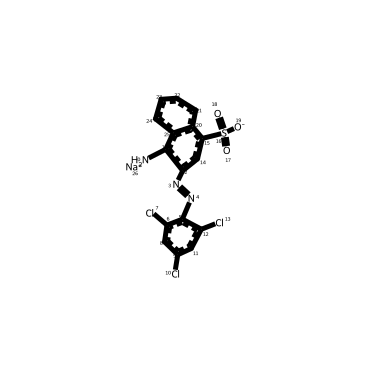 Nc1c(N=Nc2c(Cl)cc(Cl)cc2Cl)cc(S(=O)(=O)[O-])c2ccccc12.[Na+]